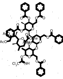 COC(=O)[C@@]1(O[C@H]2C(O[C@@H]3OC(COC(=O)c4ccccc4)[C@@H](C)[C@H](C[C@@H]4OC(COC(=O)c5ccccc5)[C@H](OC(=O)c5ccccc5)[C@H](C)C4OC(=O)c4ccccc4)C3NC(C)=O)C(COC(=O)c3ccccc3)O[C@H](OC(=N)C(Cl)(Cl)Cl)C2C)CC(C)[C@@H](C)[C@H]([C@H](C)[C@@H](COC(C)=O)OC(C)=O)O1